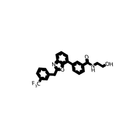 O=C(NCCO)c1cccc(-c2cccc3nc(Cc4cccc(C(F)(F)F)c4)oc23)c1